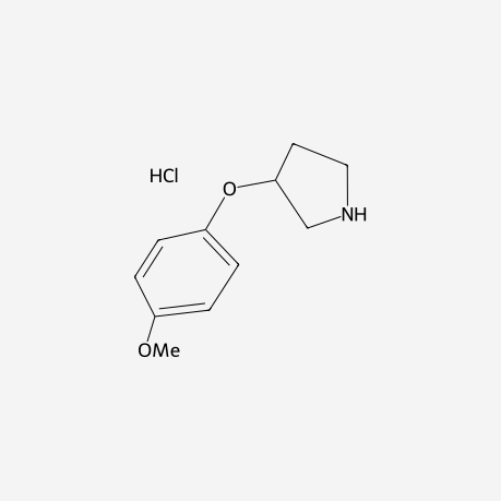 COc1ccc(OC2CCNC2)cc1.Cl